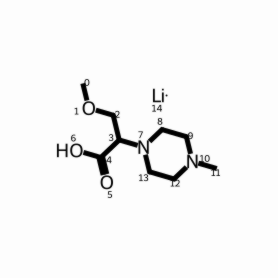 COCC(C(=O)O)N1CCN(C)CC1.[Li]